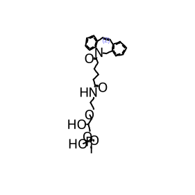 O=C(CCCCC(=O)N1Cc2ccccc2/C=C\c2ccccc21)NCCCOCC(O)COP(=O)(O)I